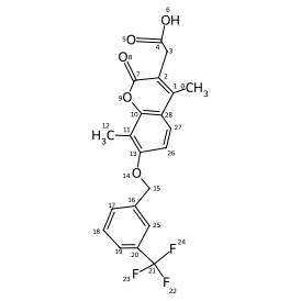 Cc1c(CC(=O)O)c(=O)oc2c(C)c(OCc3cccc(C(F)(F)F)c3)ccc12